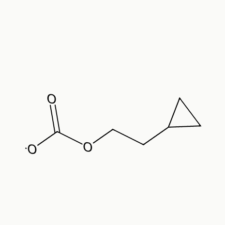 [O]C(=O)OCCC1CC1